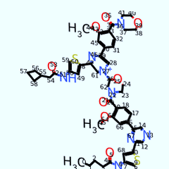 CCCCC(=O)Nc1csc(-c2cncc(-c3ccc(C(=O)N4CCOC([n+]5cc(-c6ccc(C(=O)N7CCOCC7)c(OC)c6)nc(-c6cc(NC(=O)CC7CCC7)cs6)c5)C4)c(OC)c3)n2)c1